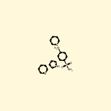 Nc1ccc(S(N)(=O)=O)cc1.c1cc[nH]c1.c1ccncc1.c1ccncc1